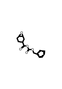 O=C(OCc1ccccc1)OC(=O)C1CCC2OC2C1